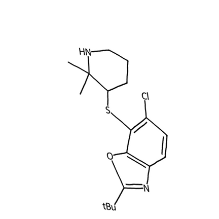 CC(C)(C)c1nc2ccc(Cl)c(SC3CCCNC3(C)C)c2o1